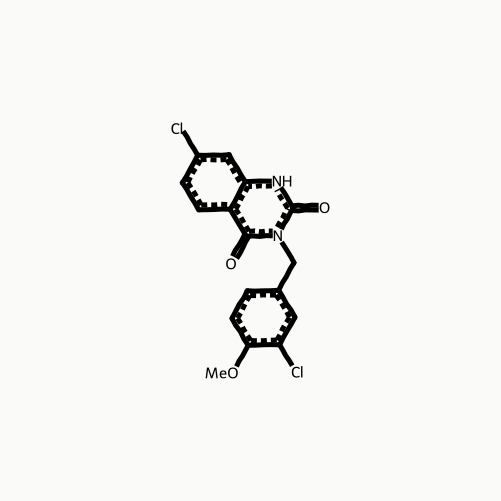 COc1ccc(Cn2c(=O)[nH]c3cc(Cl)ccc3c2=O)cc1Cl